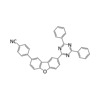 N#Cc1ccc(-c2ccc3oc4ccc(-c5nc(-c6ccccc6)nc(-c6ccccc6)n5)cc4c3c2)cc1